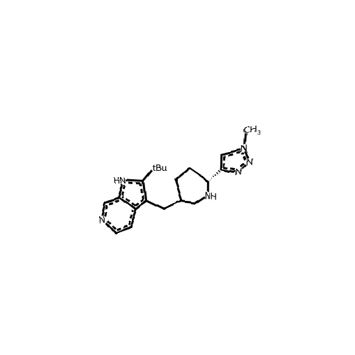 Cn1cc([C@H]2CCC(Cc3c(C(C)(C)C)[nH]c4cnccc34)CN2)nn1